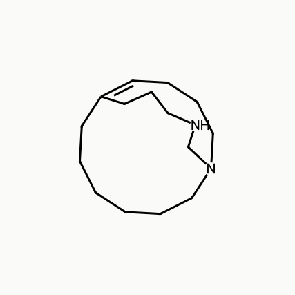 C1=C2CCCCCCN(CCC1)CNCCC2